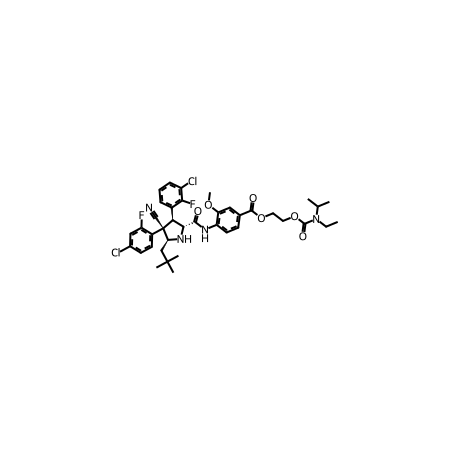 CCN(C(=O)OCCOC(=O)c1ccc(NC(=O)[C@@H]2N[C@@H](CC(C)(C)C)[C@](C#N)(c3ccc(Cl)cc3F)[C@H]2c2cccc(Cl)c2F)c(OC)c1)C(C)C